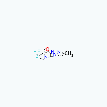 Cc1ccc(-n2cc(CN3CCC(C(F)(F)F)CC3)c(C3CCCO3)n2)nc1